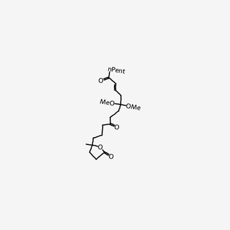 CCCCCC(=O)C=CCC(CCC(=O)CCCC1(C)CCC(=O)O1)(OC)OC